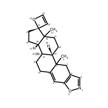 CC12Cc3cnoc3C=C1CC[C@@H]1[C@@H]2CCC2(C)[C@H]1CC[C@@]21C=CO1